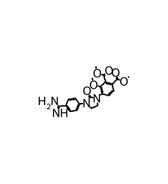 COC(=O)c1ccc(N2CCN(c3ccc(C(=N)N)cc3)C2=O)c(OC)c1C(=O)OC